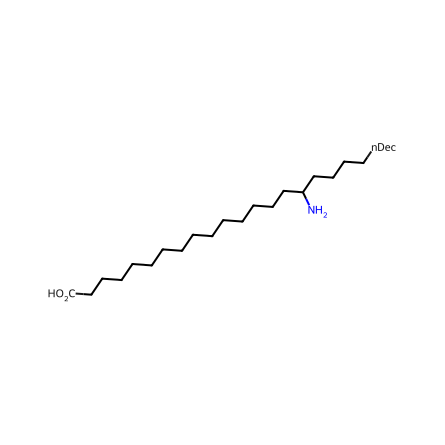 CCCCCCCCCCCCCCC(N)CCCCCCCCCCCCCCC(=O)O